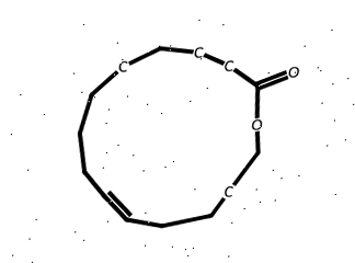 O=C1CCCCCCCC=CCCCCO1